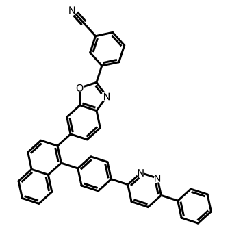 N#Cc1cccc(-c2nc3ccc(-c4ccc5ccccc5c4-c4ccc(-c5ccc(-c6ccccc6)nn5)cc4)cc3o2)c1